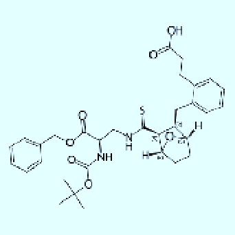 CC(C)(C)OC(=O)NC(CNC(=S)[C@H]1[C@@H](Cc2ccccc2CCC(=O)O)[C@@H]2CC[C@H]1O2)C(=O)OCc1ccccc1